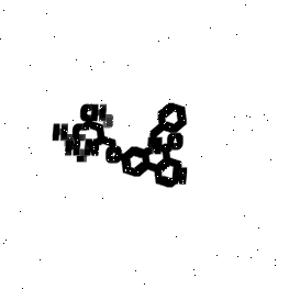 CC(C)C[C@H](N)COc1ccc2c3ccncc3c(=O)n(Cc3ccccc3)c2c1